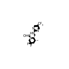 C[C@@H]1CC(F)(F)CN(C=O)[C@@H]1CNc1ncc(C(F)(F)F)cn1